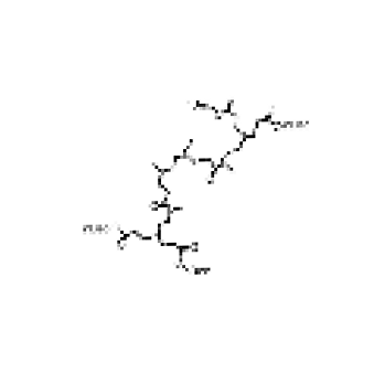 CCCCCCCCCCOC(=O)CCN(CCC(=O)OCCCCCCCCCC)CCN(C)C(=O)CCN(C)CCN(C)CCC(=O)N(C)CCN(CCC(=O)OCCCCCCCCCC)CCC(=O)OCCCCCCCCCC